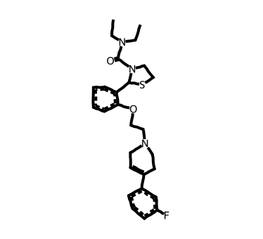 CCN(CC)C(=O)N1CCSC1c1ccccc1OCCN1CC=C(c2cccc(F)c2)CC1